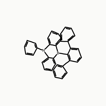 c1ccc(-c2cccc(-c3ccccc3)c2B2c3ccccc3N(c3ccccc3)c3ccccc32)cc1